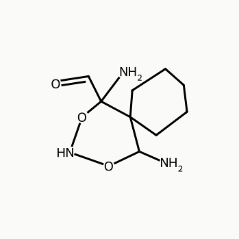 NC1ONOC(N)(C=O)C12CCCCC2